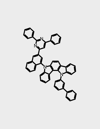 c1ccc(-c2cccc(-n3c4ccccc4c4ccc5c(c6ccccc6n5-c5cc(-c6cc(-c7ccccc7)nc(-c7ccccc7)n6)cc6ccccc56)c43)c2)cc1